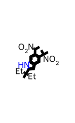 CCC(C)(CC)c1cc2cc(C(C)(C)[N+](=O)[O-])c(C(C)[N+](=O)[O-])cc2[nH]1